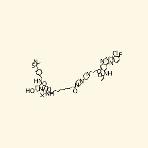 C=CC(=O)Nc1cc2c(Nc3ccc(F)c(Cl)c3)ncnc2cc1OCCCN1CCC(N2CCN(C(=O)CCCCCCCCC(=O)NC(C(=O)N3C[C@H](O)CC3C(=O)NCc3ccc(-c4scnc4C)cc3)C(C)(C)C)CC2)CC1